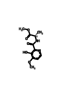 COC(=O)[C@H](C)NC(=O)c1nccc(OC)c1O